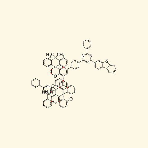 CC1(C)c2ccccc2C2(c3ccccc3Oc3c(-c4ccc5c(c4)C(C)(C)c4ccccc4C54c5ccccc5Oc5cccc(-c6cccc(-c7cc(-c8ccccc8)nc(-c8ccccc8)n7)c6)c54)cc(-c4ccc(-c5cc(-c6ccc7c(c6)sc6ccccc67)nc(-c6ccccc6)n5)cc4)cc32)c2ccccc21